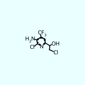 Nc1c(C(F)(F)F)cc(C(O)CCl)nc1Cl